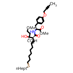 CC#CCOc1ccc(C[C@H](NC(=O)[C@@H](/C=C/CCCCCCSCCCCCCC)[C@@](O)(CCOC)C(=O)O)C(=O)OC)cc1